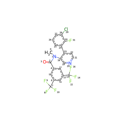 CN(C(=O)c1cc(C(F)(F)F)cc(C(F)(F)F)c1)c1cnccc1-c1cccc(Cl)c1F